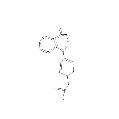 NC(=O)CC1C=CC(c2n[nH]c(=O)c3ccccc23)=CC1